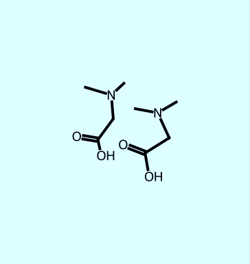 CN(C)CC(=O)O.CN(C)CC(=O)O